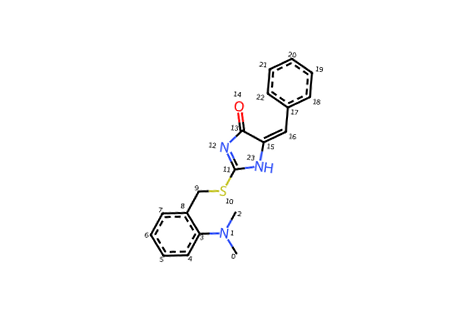 CN(C)c1ccccc1CSC1=NC(=O)/C(=C\c2ccccc2)N1